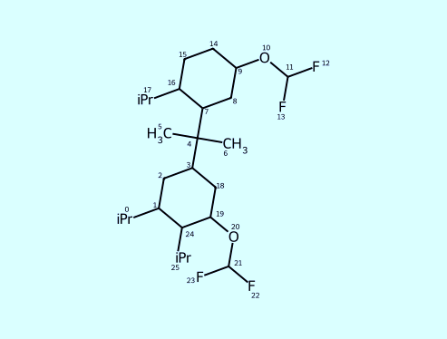 CC(C)C1CC(C(C)(C)C2CC(OC(F)F)CCC2C(C)C)CC(OC(F)F)C1C(C)C